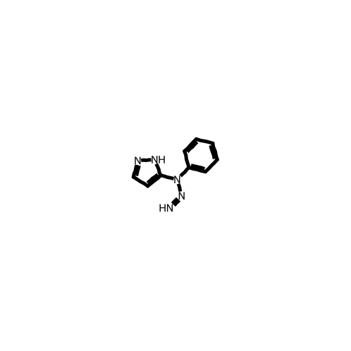 N=NN(c1ccccc1)c1ccn[nH]1